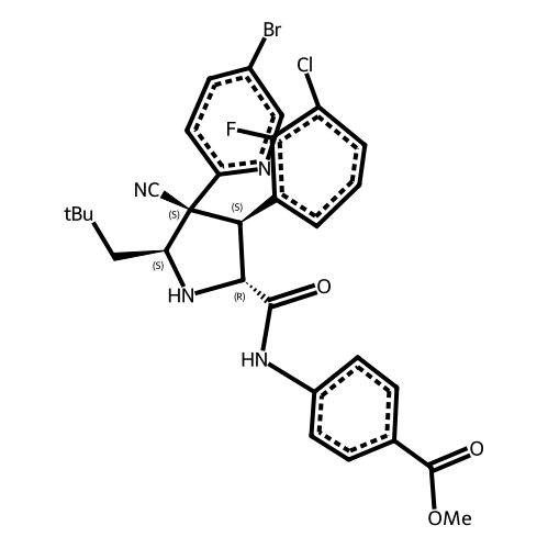 COC(=O)c1ccc(NC(=O)[C@@H]2N[C@@H](CC(C)(C)C)[C@](C#N)(c3ccc(Br)cn3)[C@H]2c2cccc(Cl)c2F)cc1